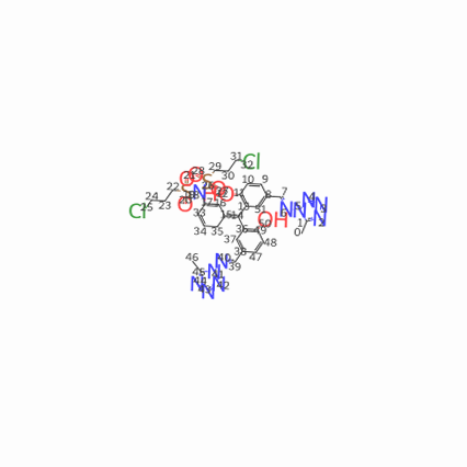 Cc1nnnn1N=Cc1ccc(O)c(C(=C2C=C(N(S(=O)(=O)CCCCl)S(=O)(=O)CCCCl)C=CC2)c2cc(C=Nn3nnnc3C)ccc2O)c1